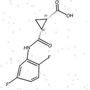 O=C(O)[C@H]1C[C@H]1C(=O)Nc1cc(F)ccc1F